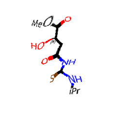 COC(=O)[C@H](O)CC(=O)NC(=S)NC(C)C